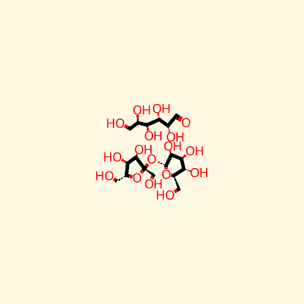 O=C[C@H](O)[C@@H](O)[C@@H](O)[C@H](O)CO.OC[C@H]1O[C@@](CO)(O[C@H]2O[C@H](CO)[C@@H](O)[C@H](O)[C@H]2O)[C@@H](O)[C@@H]1O